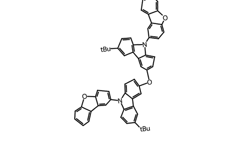 CC(C)(C)c1ccc2c(c1)c1cc(Oc3ccc4c(c3)c3cc(C(C)(C)C)ccc3n4-c3ccc4oc5ccccc5c4c3)ccc1n2-c1ccc2oc3ccccc3c2c1